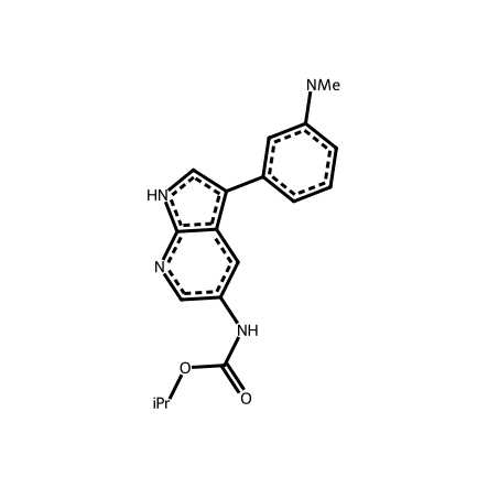 CNc1cccc(-c2c[nH]c3ncc(NC(=O)OC(C)C)cc23)c1